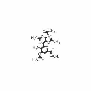 COC(=O)[C@H]1CC(OC(C)=O)[C@@H](N)C([C@H](OC(C)=O)[C@@H](COC(C)=O)OC(C)=O)O1